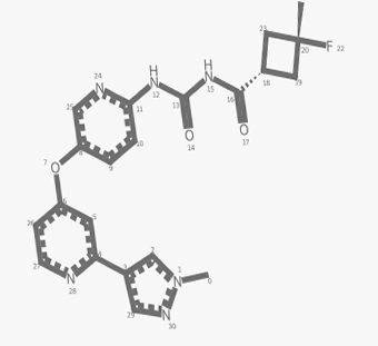 Cn1cc(-c2cc(Oc3ccc(NC(=O)NC(=O)[C@H]4C[C@@](C)(F)C4)nc3)ccn2)cn1